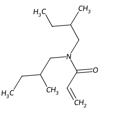 C=CC(=O)N(CC(C)CC)CC(C)CC